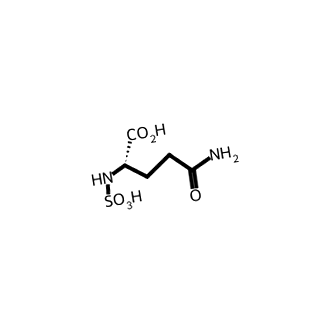 NC(=O)CC[C@H](NS(=O)(=O)O)C(=O)O